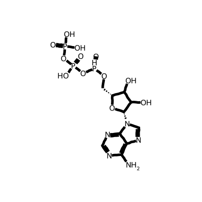 Nc1ncnc2c1ncn2[C@@H]1O[C@H](CO[PH](=O)OP(=O)(O)OP(=O)(O)O)C(O)C1O